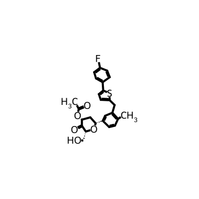 CC(=O)O[C@@H]1C[C@H](c2ccc(C)c(Cc3ccc(-c4ccc(F)cc4)s3)c2)O[C@H](CO)C1=O